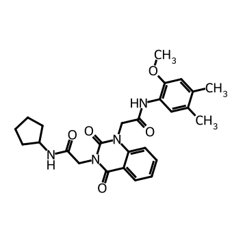 COc1cc(C)c(C)cc1NC(=O)Cn1c(=O)n(CC(=O)NC2CCCC2)c(=O)c2ccccc21